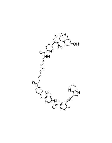 CCc1c(-c2ccc(C(=O)NCCCCCCCCC(=O)N3CCN(Cc4ccc(NC(=O)c5ccc(C)c(C#Cc6cnc7cccnn67)c5)cc4C(F)(F)F)CC3)nc2)cnc(N)c1-c1ccc(O)cc1